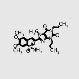 CCCn1c(=O)c2c(nc(/C=C/c3cc(OC)c(OC)cc3S(N)(=O)=O)n2C)n(CCC)c1=O